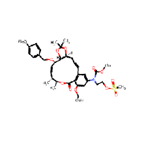 COCOc1cc(N(CCOS(C)(=O)=O)C(=O)OC(C)(C)C)cc2c1C(=O)O[C@@H](C)[C@H](C)/C=C\[C@@H](OCc1ccc(OC)cc1)[C@H]1OC(C)(C)O[C@H]1C/C=C/2